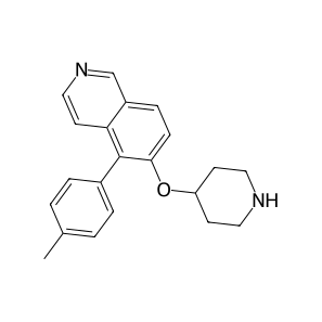 Cc1ccc(-c2c(OC3CCNCC3)ccc3cnccc23)cc1